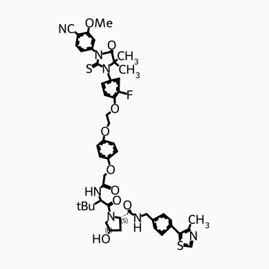 COc1cc(N2C(=O)C(C)(C)N(c3ccc(OCCOc4ccc(OCC(=O)NC(C(=O)N5C[C@H](O)C[C@H]5C(=O)NCc5ccc(-c6scnc6C)cc5)C(C)(C)C)cc4)c(F)c3)C2=S)ccc1C#N